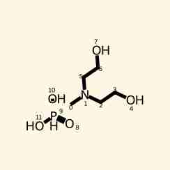 CN(CCO)CCO.O=[PH](O)O